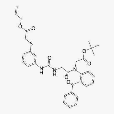 C=CCOC(=O)CSc1cccc(NC(=O)NCC(=O)N(CC(=O)OC(C)(C)C)c2ccccc2C(=O)c2ccccc2)c1